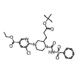 CCOC(=O)c1cnc(N2CCN(C(=O)NS(=O)(=O)c3ccccc3)C(CCC(=O)OC(C)(C)C)C2)c(Cl)c1